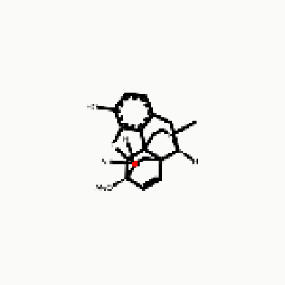 CO[C@]12C=C[C@@]3(C[C@H]1C(C)=O)[C@H]1Cc4ccc(O)c5c4C3(CCN1C)[C@H]2O5